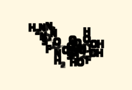 Nc1ncnc2c([C@@H]3O[C@H](COP(=O)(S)OP(=O)(O)OC4OC([C@@H](F)CO)C(O)C(O)C4O)[C@@H](N)[C@H]3F)snc12